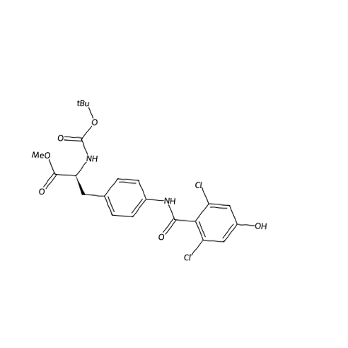 COC(=O)[C@H](Cc1ccc(NC(=O)c2c(Cl)cc(O)cc2Cl)cc1)NC(=O)OC(C)(C)C